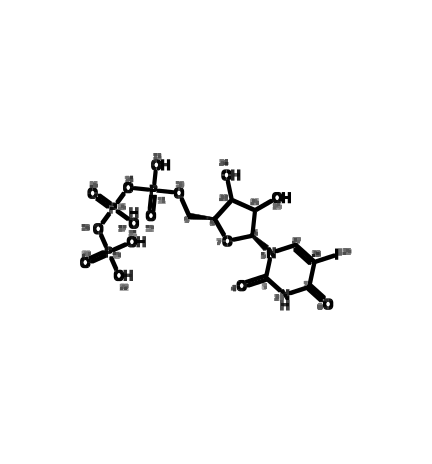 O=c1[nH]c(=O)n([C@H]2O[C@@H](COP(=O)(O)OP(=O)(O)OP(=O)(O)O)C(O)C2O)cc1F